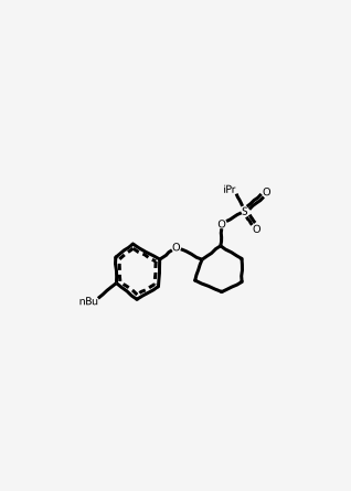 CCCCc1ccc(OC2CCCCC2OS(=O)(=O)C(C)C)cc1